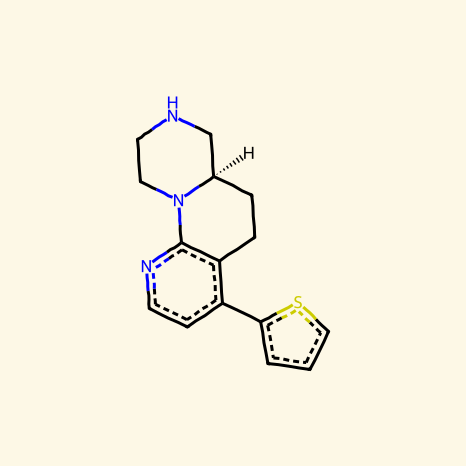 c1csc(-c2ccnc3c2CC[C@@H]2CNCCN32)c1